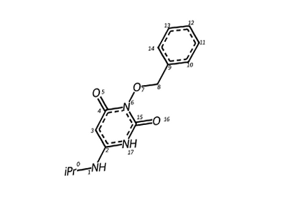 CC(C)Nc1cc(=O)n(OCc2ccccc2)c(=O)[nH]1